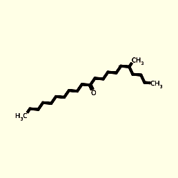 CCCCCCCCCCC(=O)CCCC[CH]C(C)CCCC